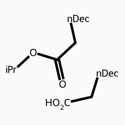 CCCCCCCCCCCC(=O)O.CCCCCCCCCCCC(=O)OC(C)C